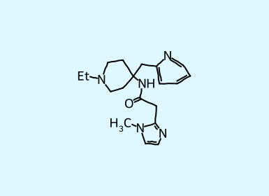 CCN1CCC(Cc2ccccn2)(NC(=O)Cc2nccn2C)CC1